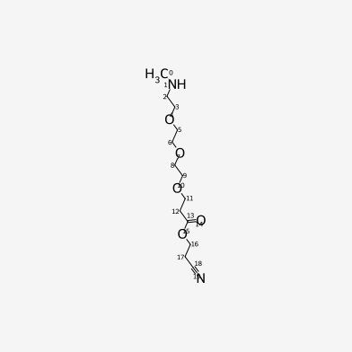 CNCCOCCOCCOCCC(=O)OCCC#N